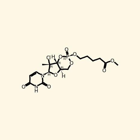 COC(=O)CCCCO[P@@]1(=O)OC[C@H]2O[C@@H](n3ccc(=O)[nH]c3=O)[C@](C)(Cl)[C@@H]2O1